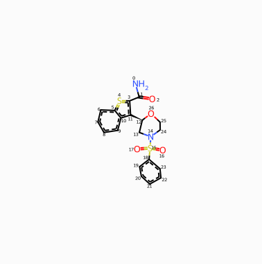 NC(=O)c1sc2ccccc2c1[C@@H]1CN(S(=O)(=O)c2ccccc2)CCO1